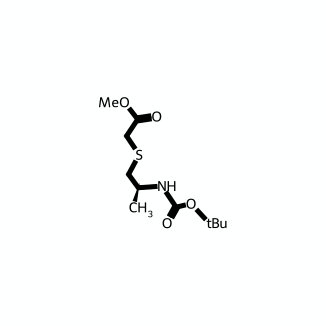 COC(=O)CSC[C@H](C)NC(=O)OC(C)(C)C